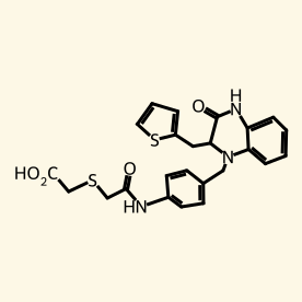 O=C(O)CSCC(=O)Nc1ccc(CN2c3ccccc3NC(=O)C2Cc2cccs2)cc1